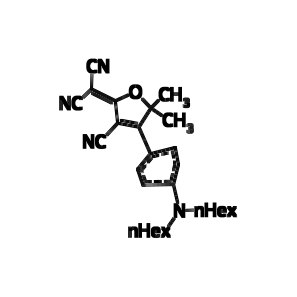 CCCCCCN(CCCCCC)c1ccc(C2=C(C#N)C(=C(C#N)C#N)OC2(C)C)cc1